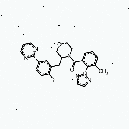 Cc1cccc(C(=O)N2CCOCC2Cc2cc(-c3ncccn3)ccc2F)c1-n1nccn1